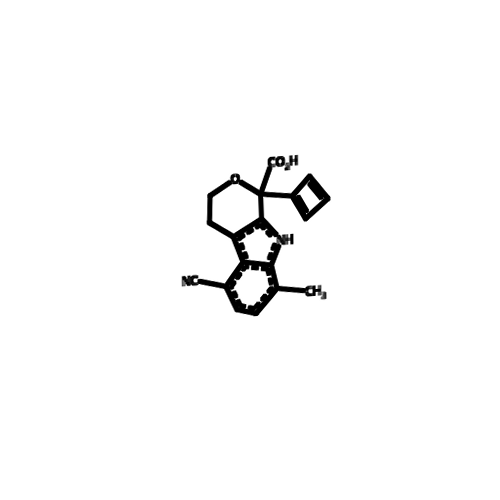 Cc1ccc(C#N)c2c3c([nH]c12)C(C(=O)O)(C1=CC=C1)OCC3